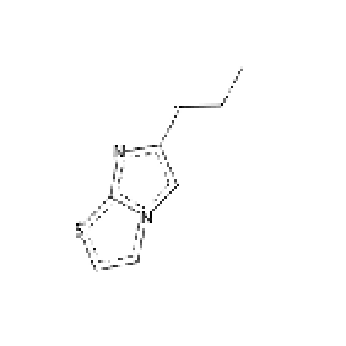 CC[CH]c1cn2ccsc2n1